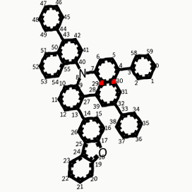 c1ccc(-c2ccc(N(c3cccc(-c4ccc5oc6ccccc6c5c4)c3-c3cccc(-c4ccccc4)c3)c3ccc(-c4ccccc4)c4ccccc34)cc2)cc1